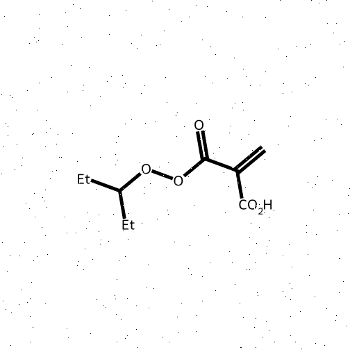 C=C(C(=O)O)C(=O)OOC(CC)CC